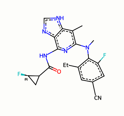 CCc1cc(C#N)cc(F)c1N(C)c1nc(NC(=O)C2C[C@H]2F)c2nc[nH]c2c1C